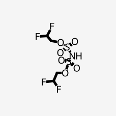 O=S(=O)(NS(=O)(=O)OCC(F)F)OCC(F)F